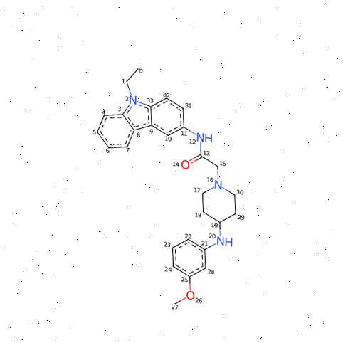 CCn1c2ccccc2c2cc(NC(=O)CN3CCC(Nc4cccc(OC)c4)CC3)ccc21